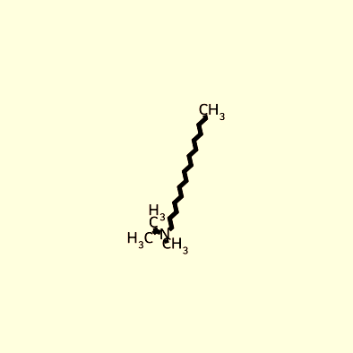 CCCCCCCCCCCCCCCCN(C)C(C)C